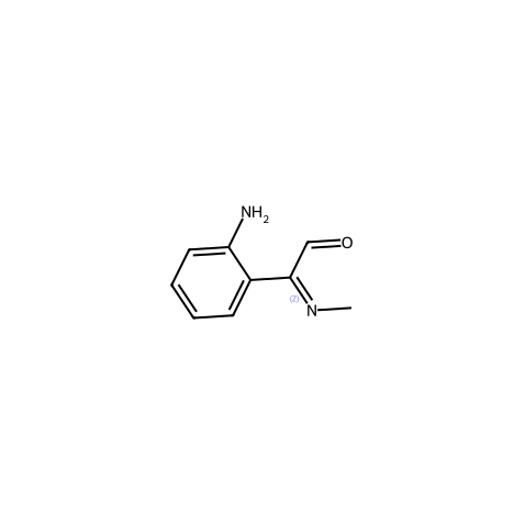 C/N=C(\C=O)c1ccccc1N